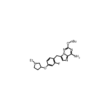 CCCCOc1nc(N)c2ncc(Cc3ccc(OC4CCN(CC)C4)cc3F)n2n1